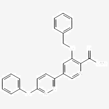 COC(=O)c1ncc(-c2ccc(Oc3ccccc3)nn2)cc1OCc1ccccc1